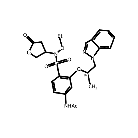 CCON(C1COC(=O)C1)S(=O)(=O)c1ccc(NC(C)=O)cc1O[C@H](C)Cn1ncc2ccccc21